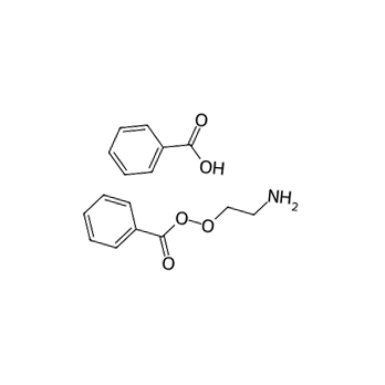 NCCOOC(=O)c1ccccc1.O=C(O)c1ccccc1